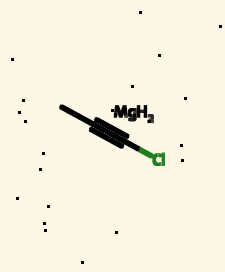 CC#CCl.[MgH2]